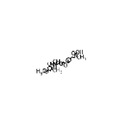 COc1cc(C)c(S(=O)(=O)N(C)CCOCC(=O)N2CCC(CCN(C)C(=O)O)CC2)c(C)c1